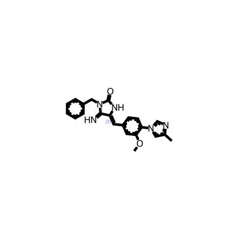 COc1cc(/C=C2\NC(=O)N(Cc3ccccc3)C2=N)ccc1-n1cnc(C)c1